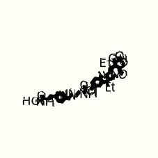 CCc1c2c(nc3ccc(OC(=O)NCCNCc4ccc(/C=C/C(=O)NO)cc4)cc13)-c1cc3c(c(=O)n1C2)COC(=O)[C@]3(O)CC